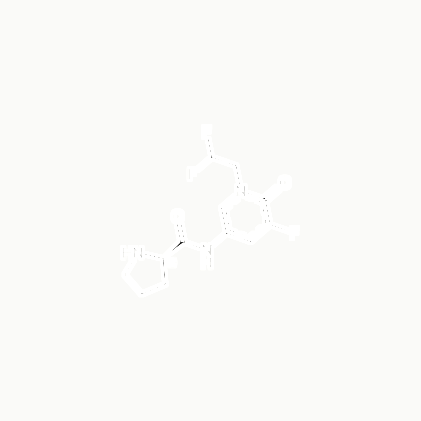 O=C(Nc1cc(F)c(=O)n(CC(F)F)c1)[C@H]1CCCN1